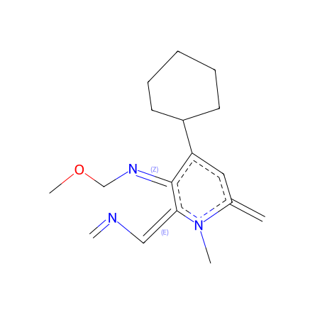 C=N/C=c1\c(=N/COC)c(C2CCCCC2)cc(=C)n1C